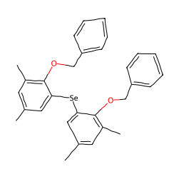 Cc1cc(C)c(OCc2ccccc2)c([Se]c2cc(C)cc(C)c2OCc2ccccc2)c1